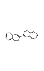 c1ccc2cc(-c3ccc4ccccc4c3)ccc2c1